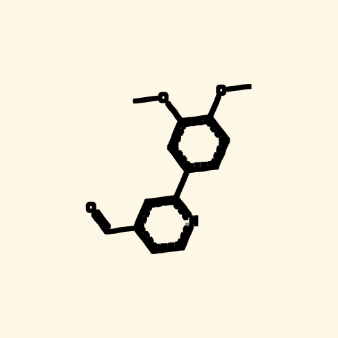 COc1ccc(-c2cc(C=O)ccn2)cc1OC